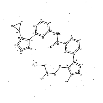 Cc1ncn(-c2ccnc(C(=O)Nc3cccc(-c4nncn4C4CC4)c3)c2)c1CCN(C)CC(F)(F)F